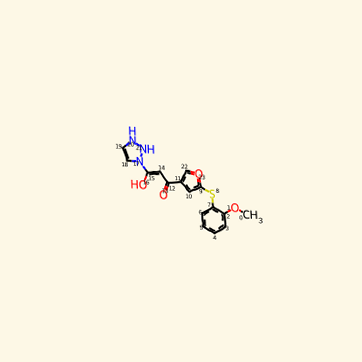 COc1ccccc1Sc1cc(C(=O)C=C(O)N2C=CNN2)co1